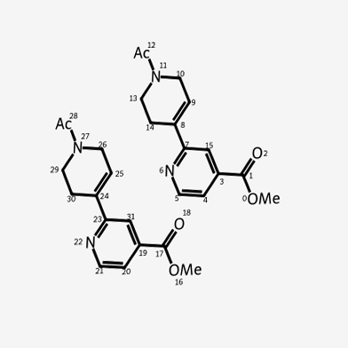 COC(=O)c1ccnc(C2=CCN(C(C)=O)CC2)c1.COC(=O)c1ccnc(C2=CCN(C(C)=O)CC2)c1